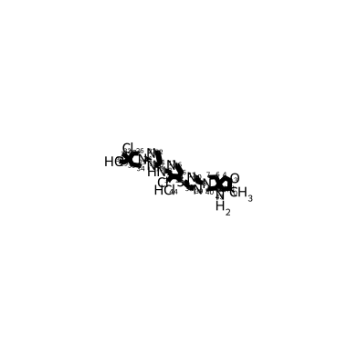 C[C@@H]1C(=O)CC2(CCN(c3cnc(Sc4ccnc(Nc5ccnc(N6CCC(CO)(CCl)CC6)n5)c4Cl)cn3)CC2)[C@H]1N.Cl